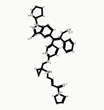 O=C(/C=C/CNC1(COc2ccc(/C(=C(/CC(F)(F)F)c3ccccc3)c3ccc4c(c3)c(F)nn4C3CCCCO3)cn2)CC1)N1C=CCC1